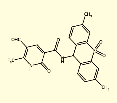 Cc1ccc2c(c1)S(=O)(=O)c1cc(C)ccc1C2NC(=O)c1cc(C=O)c(C(F)(F)F)[nH]c1=O